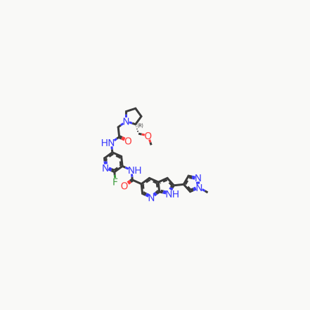 COC[C@H]1CCCN1CC(=O)Nc1cnc(F)c(NC(=O)c2cnc3[nH]c(-c4cnn(C)c4)cc3c2)c1